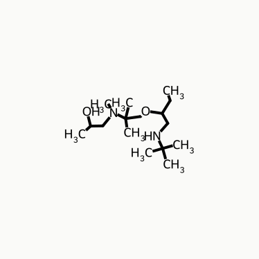 CCC(CNC(C)(C)C)OCC(C)(C)N(C)CC(C)O